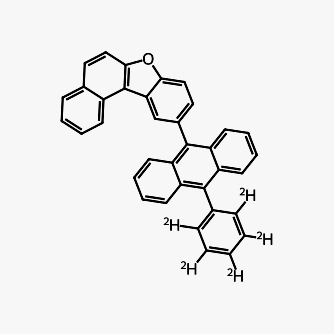 [2H]c1c([2H])c([2H])c(-c2c3ccccc3c(-c3ccc4oc5ccc6ccccc6c5c4c3)c3ccccc23)c([2H])c1[2H]